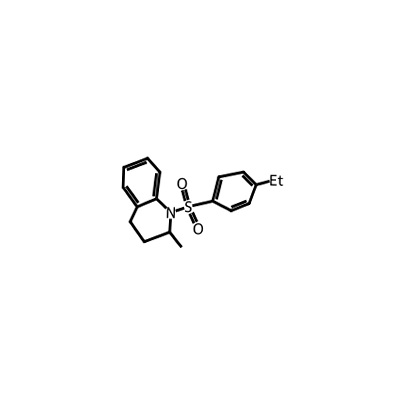 CCc1ccc(S(=O)(=O)N2c3ccccc3CCC2C)cc1